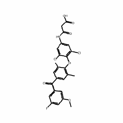 COc1cc(F)cc(C(=O)c2cc(C)c(Oc3c(Cl)cc(NC(=O)CC(=O)O)cc3Cl)c(C)c2)c1